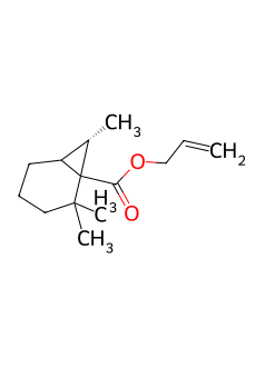 C=CCOC(=O)C12C(CCCC1(C)C)[C@@H]2C